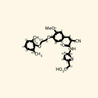 COc1cc(C=C(C#N)C(=O)Nc2nc(CC(=O)O)cs2)ccc1OCCOc1c(C)cccc1C